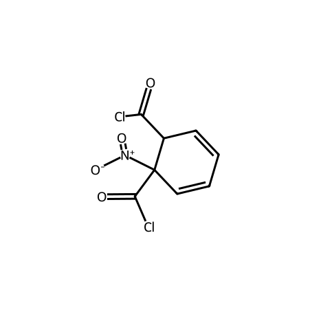 O=C(Cl)C1C=CC=CC1(C(=O)Cl)[N+](=O)[O-]